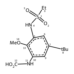 CCS(=O)(=O)Nc1cc(C(C)(C)C)cc(NC(=O)O)c1OC